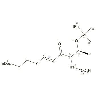 CCCCCCCCCCCCC/C=C/C(=O)[C@@H](NC(=O)O)[C@H](C)O[Si](C)(C)C(C)(C)C